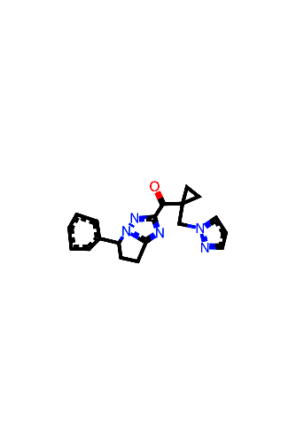 O=C(c1nc2n(n1)C(c1ccccc1)CC2)C1(Cn2cccn2)CC1